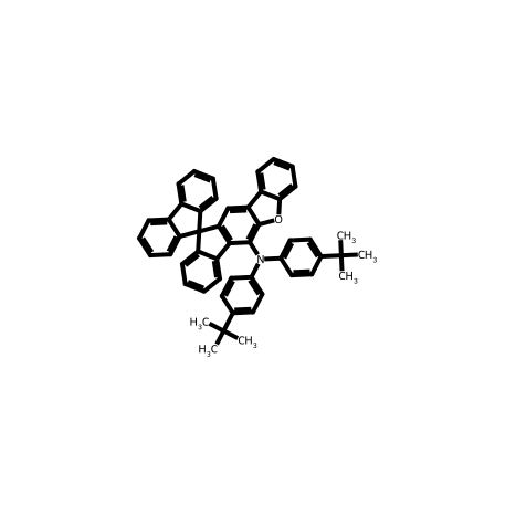 CC(C)(C)c1ccc(N(c2ccc(C(C)(C)C)cc2)c2c3c(cc4c2oc2ccccc24)C2(c4ccccc4-c4ccccc42)c2ccccc2-3)cc1